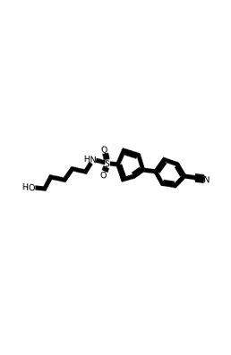 N#Cc1ccc(-c2ccc(S(=O)(=O)NCCCCCO)cc2)cc1